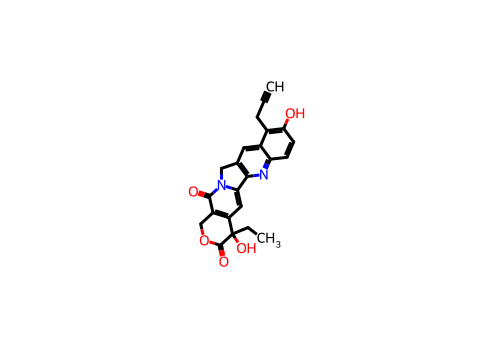 C#CCc1c(O)ccc2nc3c(cc12)Cn1c-3cc2c(c1=O)COC(=O)C2(O)CC